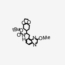 COc1cnc2cccc(CC(NC(=O)OC(C)(C)C)C3CCC4(CC3)OCCO4)c2n1